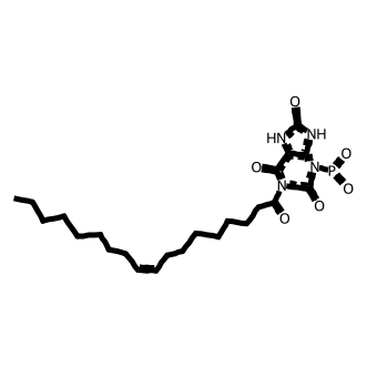 CCCCCCCC/C=C\CCCCCCCC(=O)n1c(=O)c2[nH]c(=O)[nH]c2n(P(=O)=O)c1=O